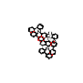 c1ccc(-c2ccccc2N(c2ccccc2-c2ccccc2)c2cc3c(c4ccccc24)B2c4c(cccc4Oc4cc(N(c5ccccc5-c5ccccc5)c5ccccc5-c5ccccc5)c5ccccc5c42)O3)cc1